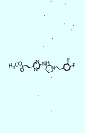 COC(=O)/C=C/c1cnc(N[C@@H]2CCCN(CCc3ccc(F)c(F)c3)C2)cn1